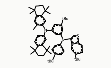 Cc1cc2c(cc1N(c1cc(N(c3ccc(C(C)(C)C)cc3)c3csc4ccc(C(C)(C)C)cc34)cc(C(C)(C)C)c1)c1ccc3c(c1)C(C)(C)CCC3(C)C)C(C)(C)CCC2(C)C